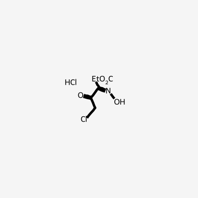 CCOC(=O)C(=NO)C(=O)CCl.Cl